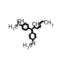 C=C(/C=C\C=C/C)C(=C1C=CC(=NC)C=C1)c1ccc(N(C)C)cc1